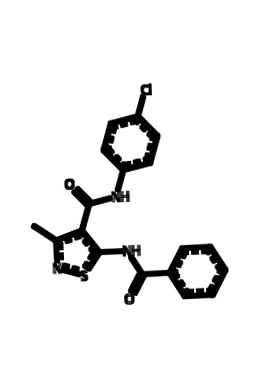 Cc1nsc(NC(=O)c2ccccc2)c1C(=O)Nc1ccc(Cl)cc1